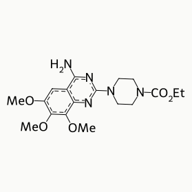 CCOC(=O)N1CCN(c2nc(N)c3cc(OC)c(OC)c(OC)c3n2)CC1